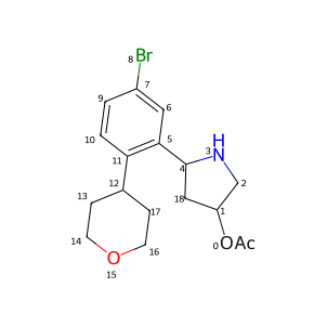 CC(=O)OC1CNC(c2cc(Br)ccc2C2CCOCC2)C1